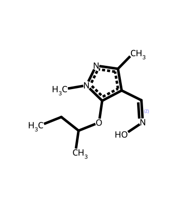 CCC(C)Oc1c(/C=N\O)c(C)nn1C